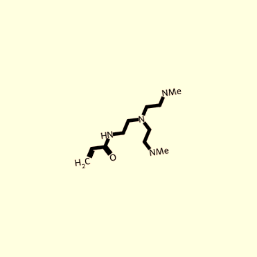 C=CC(=O)NCCN(CCNC)CCNC